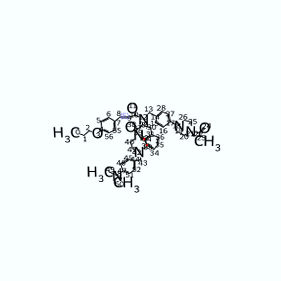 CCCOc1ccc(/C=C/C(=O)N(Cc2ccc(N3CCN(C(C)=O)CC3)cc2)[C@@H](Cc2ccccc2)C(=O)N2CCN(Cc3ccc(N(C)C)cc3)CC2)cc1